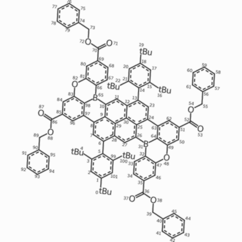 CC(C)(C)c1cc(C(C)(C)C)c(-c2cc3c4c(cc5c(-c6c(C(C)(C)C)cc(C(C)(C)C)cc6C(C)(C)C)cc6c7c(cc2c4c57)B2c4ccc(C(=O)OCc5ccccc5)cc4Oc4cc(C(=O)OCc5ccccc5)cc-6c42)B2c4ccc(C(=O)OCc5ccccc5)cc4Oc4cc(C(=O)OCc5ccccc5)cc-3c42)c(C(C)(C)C)c1